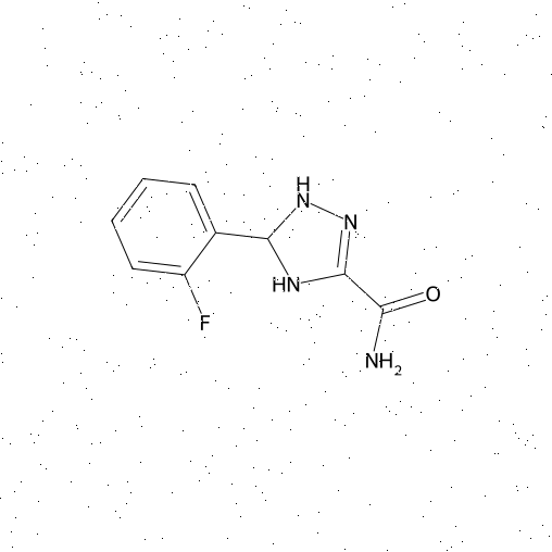 NC(=O)C1=NNC(c2ccccc2F)N1